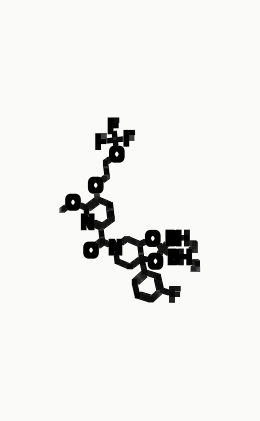 BC1(B)OC2CN(C(=O)c3ccc(OCCOC(F)(F)F)c(OC)n3)CCC2(c2cccc(F)c2)O1